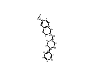 COc1ccc2c(c1)CCC(CN1CCC(c3ccccc3)CC1)C2